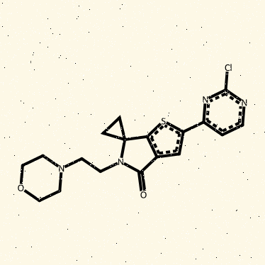 O=C1c2cc(-c3ccnc(Cl)n3)sc2C2(CC2)N1CCN1CCOCC1